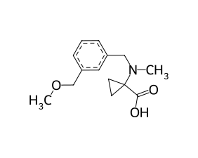 COCc1cccc(CN(C)C2(C(=O)O)CC2)c1